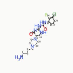 NCCCCN1CCN(c2c[nH]c(NC(=O)Nc3cccc(Cl)c3F)nc2=O)CC1